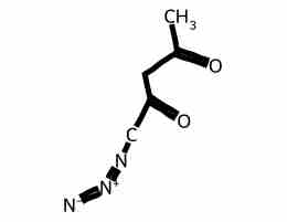 CC(=O)CC(=O)CN=[N+]=[N-]